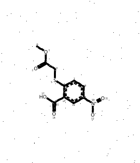 COC(=O)CSc1ccc([N+](=O)[O-])cc1C(=O)O